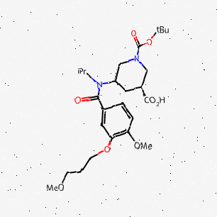 COCCCOc1cc(C(=O)N(C(C)C)C2C[C@H](C(=O)O)CN(C(=O)OC(C)(C)C)C2)ccc1OC